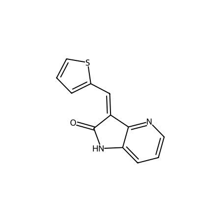 O=C1Nc2cccnc2C1=Cc1cccs1